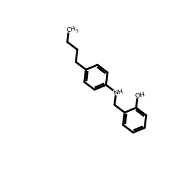 CCCCc1ccc(NCc2ccccc2O)cc1